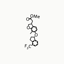 COC(=O)CC1COc2c1ccc(OC1CCc3c1cccc3C(F)(F)F)c2C